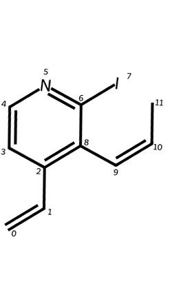 C=Cc1ccnc(I)c1/C=C\C